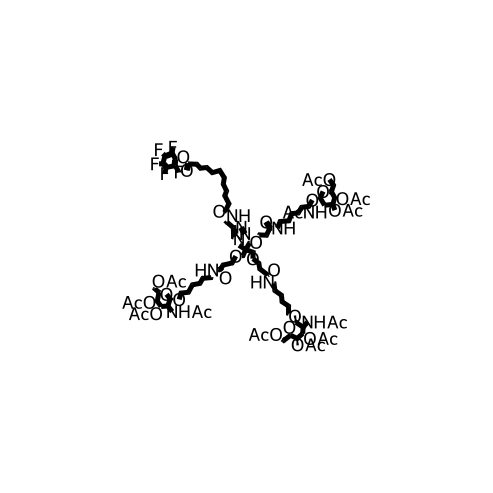 CC(=O)NC1C(OC(C)=O)[C@@H](OC(C)=O)C(COC(C)=O)O[C@H]1OCCCCCCNC(=O)CCOCC(COCCC(=O)NCCCCCCO[C@@H]1OC(COC(C)=O)[C@H](OC(C)=O)C(OC(C)=O)C1NC(C)=O)(COCCC(=O)NCCCCCCO[C@@H]1OC(COC(C)=O)[C@H](OC(C)=O)C(OC(C)=O)C1NC(C)=O)Cn1cc(CNC(=O)CCCCCCCCCCC(=O)Oc2c(F)c(F)c(F)c(F)c2F)nn1